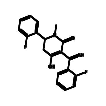 CN1C(=O)C(C(=N)c2ccccc2F)=C(O)CC1c1ccccc1F